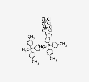 Cc1ccc([P+](C)(c2ccc(C)cc2)c2ccc(C)cc2)cc1.Cc1ccc([P+](C)(c2ccc(C)cc2)c2ccc(C)cc2)cc1.[Cl][Mn-]([Cl])([Cl])[Cl].[Cl][Mn-]([Cl])([Cl])[Cl]